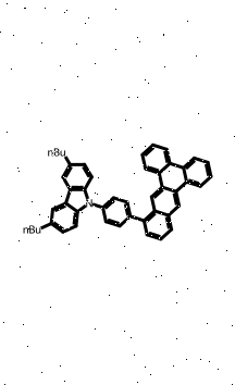 CCCCc1ccc2c(c1)c1cc(CCCC)ccc1n2-c1ccc(-c2cccc3cc4c5ccccc5c5ccccc5c4cc23)cc1